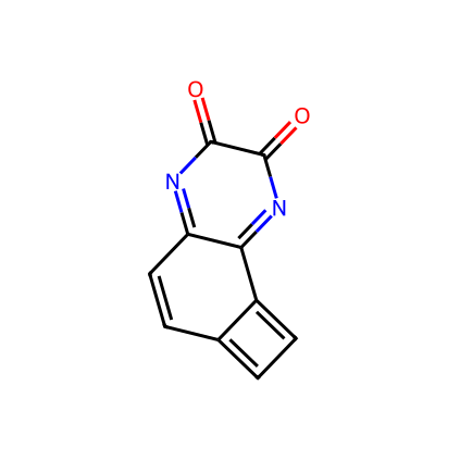 O=c1nc2ccc3ccc3c2nc1=O